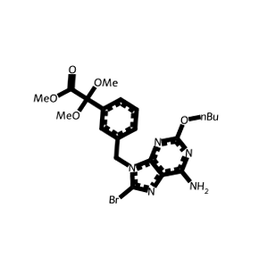 CCCCOc1nc(N)c2nc(Br)n(Cc3cccc(C(OC)(OC)C(=O)OC)c3)c2n1